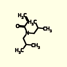 C=CC(=O)N(CC(C)C)CC(C)C